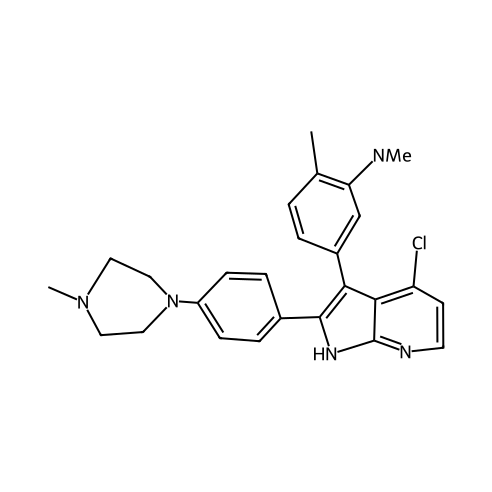 CNc1cc(-c2c(-c3ccc(N4CCN(C)CC4)cc3)[nH]c3nccc(Cl)c23)ccc1C